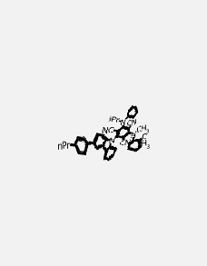 CCCc1ccc(-c2ccc3c(c2)c2ccccc2n3-c2c(C#N)c(N(C)c3ccccc3C)c(C#N)c(N(c3ccccc3)C(C)C)c2C#N)cc1